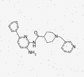 Nc1ccc(-c2ccccc2)nc1NC(=O)C1CCN(Cc2cccnc2)CC1